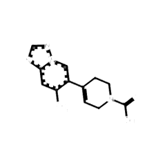 Cc1cc2ncnn2cc1C1=CCN(C(=O)O)CC1